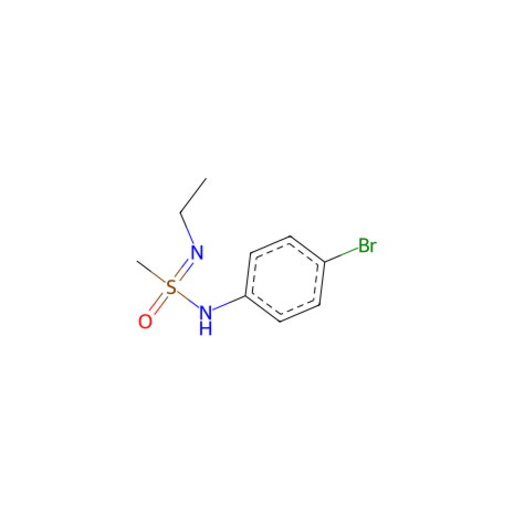 CCN=S(C)(=O)Nc1ccc(Br)cc1